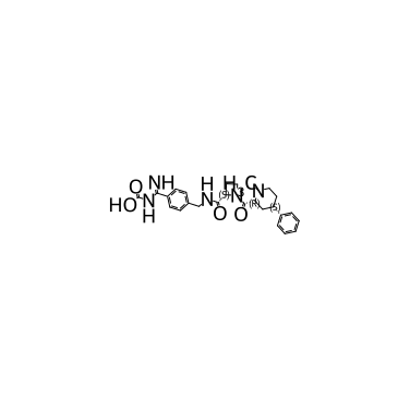 CN1CC[C@H](c2ccccc2)C[C@@H]1C(=O)N1CC[C@H]1C(=O)NCc1ccc(C(=N)NC(=O)O)cc1